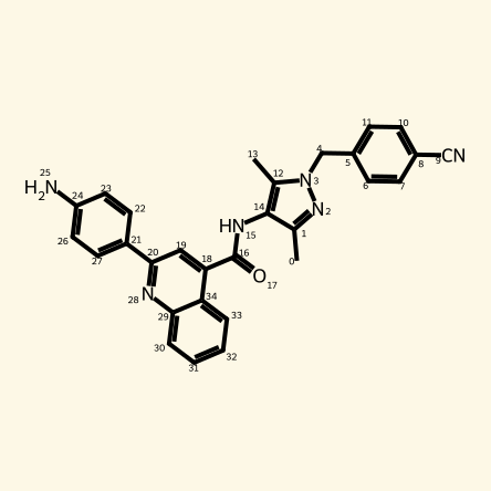 Cc1nn(Cc2ccc(C#N)cc2)c(C)c1NC(=O)c1cc(-c2ccc(N)cc2)nc2ccccc12